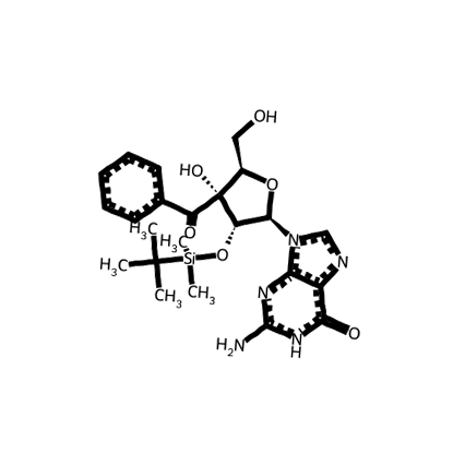 CC(C)(C)[Si](C)(C)O[C@H]1[C@H](n2cnc3c(=O)[nH]c(N)nc32)O[C@H](CO)[C@]1(O)C(=O)c1ccccc1